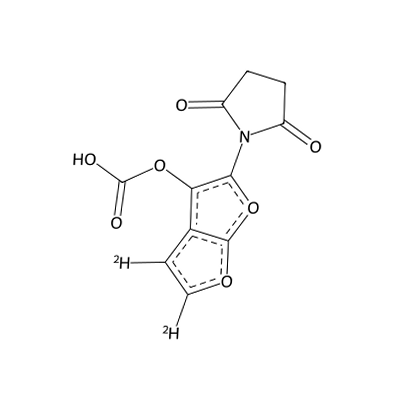 [2H]c1oc2oc(N3C(=O)CCC3=O)c(OC(=O)O)c2c1[2H]